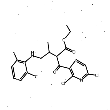 CCOC(=O)C(C(=O)c1ccc(Cl)nc1Cl)C(C)CNc1c(C)cccc1Cl